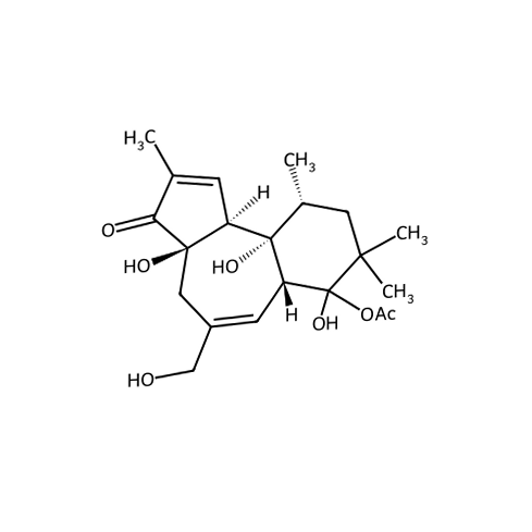 CC(=O)OC1(O)[C@@H]2C=C(CO)C[C@]3(O)C(=O)C(C)=C[C@H]3[C@@]2(O)[C@H](C)CC1(C)C